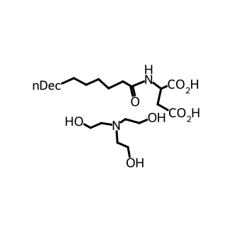 CCCCCCCCCCCCCCCC(=O)NC(CC(=O)O)C(=O)O.OCCN(CCO)CCO